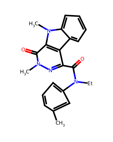 CCN(C(=O)c1nn(C)c(=O)c2c1c1ccccc1n2C)c1cccc(C)c1